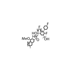 COc1cc(C(=O)NCC(O)(c2cc(C(C)(C)O)c(F)c(-c3ccc(F)cc3)n2)[C@H]2CC2(F)F)cc2cc(C)nnc12